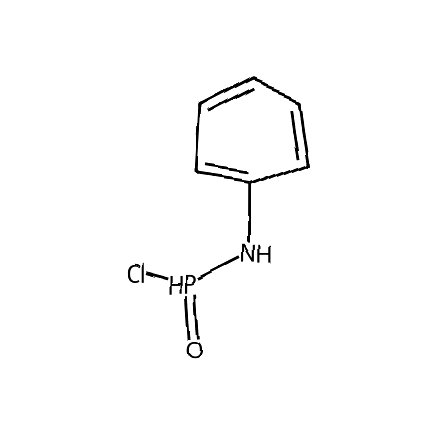 O=[PH](Cl)Nc1ccccc1